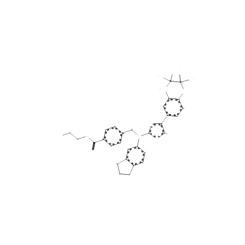 O=C(O)CCNC(=O)c1ccc(CN(c2ccc3c(c2)CCC3)c2nc(-c3ccc4c(c3)OC(F)(F)C(F)(F)O4)cs2)cc1